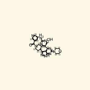 Cl.Nc1ncc(-c2nc(N3CCOCC3)nc3[nH]nc(C4CCN(C(=O)c5cccnc5)CC4)c23)cn1